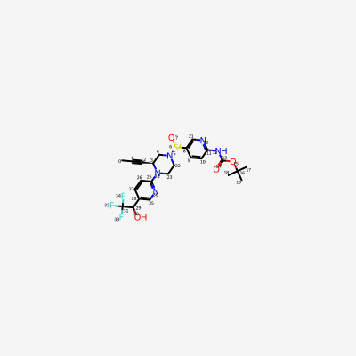 CC#C[C@H]1CN([S+]([O-])c2ccc(NC(=O)OC(C)(C)C)nc2)CCN1c1ccc(C(O)C(F)(F)F)cn1